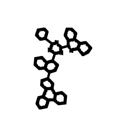 c1ccc(-c2nc(-c3ccc(-c4ccc5c6ccccc6c6ccccc6c5c4)c4ccccc34)nc(-c3nc4ccccc4c4ccccc34)n2)cc1